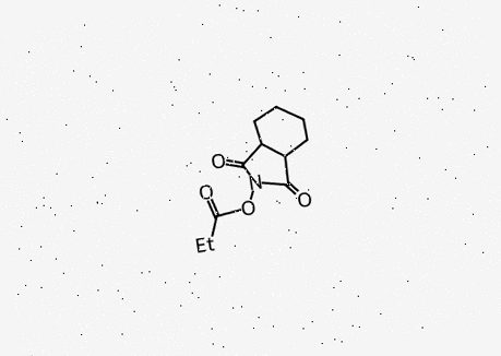 CCC(=O)ON1C(=O)C2CCCCC2C1=O